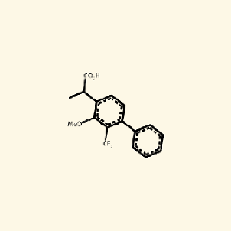 COc1c(C(C)C(=O)O)ccc(-c2ccccc2)c1C(F)(F)F